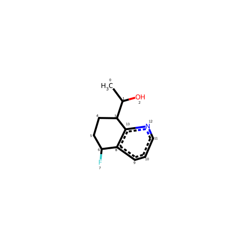 CC(O)C1CCC(F)c2cccnc21